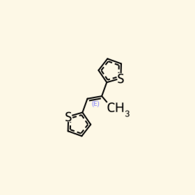 C/C(=C\c1cccs1)c1cccs1